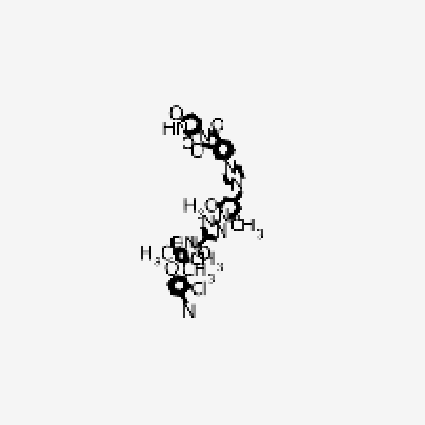 C[C@@H]1CC(CN2CCN(c3ccc4c(c3)C(=O)N(C3CCC(=O)NC3=O)C4=O)CC2)C[C@H](C)N1c1ncc(C(=O)NC2C(C)(C)C(Oc3ccc(C#N)c(Cl)c3)C2(C)C)cn1